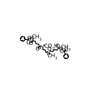 CN(CCCN(CC(=O)O)C(=O)CCCC(=O)N(C)OC(=O)c1ccccc1)C(=O)CCCC(=O)N(C)OC(=O)c1ccccc1